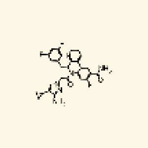 NC(=O)c1cc(-c2cccnc2[C@H](Cc2cc(F)cc(F)c2)NC(=O)Cn2cc(C3CC3)c(N)n2)ccc1F